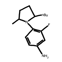 CCCCC1CCC(C)N1c1ccc(N)cc1F